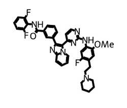 COc1cc(CCN2CCCCC2)c(F)cc1Nc1nccc(-c2c(-c3cccc(C(=O)Nc4c(F)cccc4F)c3)nc3ccccn23)n1